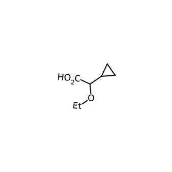 CCOC(C(=O)O)C1CC1